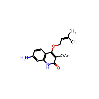 CC(=O)Oc1c(OCC=C(C)C)c2ccc(N)cc2[nH]c1=O